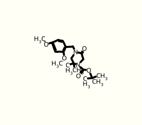 COc1ccc(CN2CC(C)(C)N(C(=O)OC(C)(C)C)CC2=O)c(OC)c1